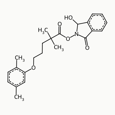 Cc1ccc(C)c(OCCCC(C)(C)C(=O)ON2C(=O)c3ccccc3C2O)c1